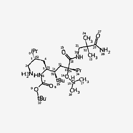 CC(C)[C@@H](CN)C[C@H](NC(=O)OC(C)(C)C)[C@@H](C[C@@](O[SiH](C)C)(C(=O)NCC(C)(C)C(N)=O)C(C)C)C(C)(C)C